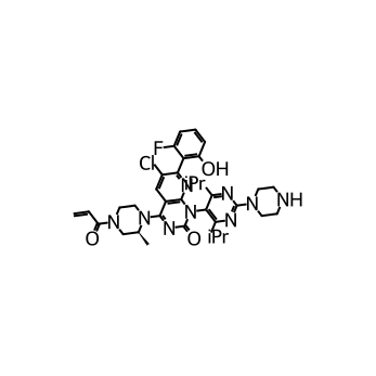 C=CC(=O)N1CCN(c2nc(=O)n(-c3c(C(C)C)nc(N4CCNCC4)nc3C(C)C)c3nc(-c4c(O)cccc4F)c(Cl)cc23)[C@@H](C)C1